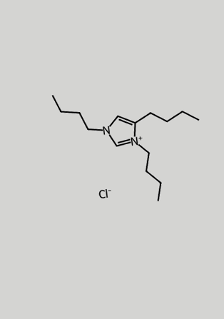 CCCCc1cn(CCCC)c[n+]1CCCC.[Cl-]